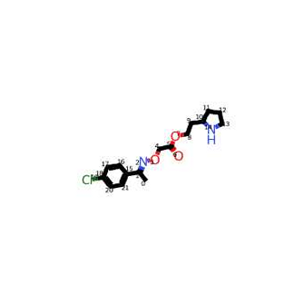 CC(=NOCC(=O)OCCC1CCCN1)c1ccc(Cl)cc1